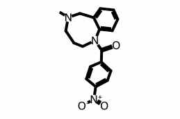 CN1CCCN(C(=O)c2ccc([N+](=O)[O-])cc2)c2ccccc2C1